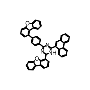 c1ccc2c(c1)cc(C1=NC(c3ccc(-c4cccc5oc6ccccc6c45)cc3)=NC(c3cccc4c3oc3ccccc34)N1)c1ccccc12